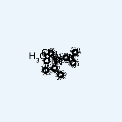 CC1(C)c2ccccc2-c2c(-c3nc(-c4cc(-c5ccccc5)cc(-c5ccccc5)c4)nc(-c4ccc5c(c4)c4ccccc4n5-c4ccccc4)n3)cccc21